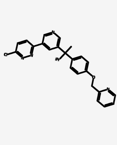 CC(C)C(C)(c1ccc(OCc2ccccn2)cc1)c1cncc(-c2ccc(Cl)nn2)c1